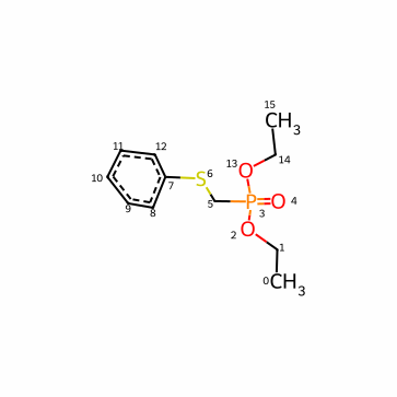 CCOP(=O)(CSc1ccccc1)OCC